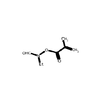 C=C(C)C(=O)ON(C=O)CC